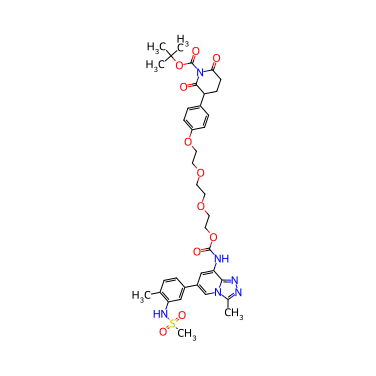 Cc1ccc(-c2cc(NC(=O)OCCOCCOCCOc3ccc(C4CCC(=O)N(C(=O)OC(C)(C)C)C4=O)cc3)c3nnc(C)n3c2)cc1NS(C)(=O)=O